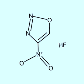 F.O=[N+]([O-])c1conn1